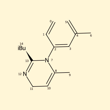 C=C/C(=C\C(=C)C)N1C(C)=CCN=C1[C@H](C)CC